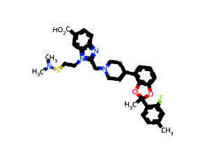 Cc1ccc(C2(C)Oc3cccc(C4CCN(Cc5nc6ccc(C(=O)O)cc6n5CCSN(C)C)CC4)c3O2)c(F)c1